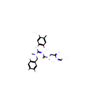 CN/C=N\C(=N)CN(C=O)C(=O)/N=C(/Nc1cc(SC)c(C)cc1O)N(C)Cc1cc(Cl)c(F)cc1F